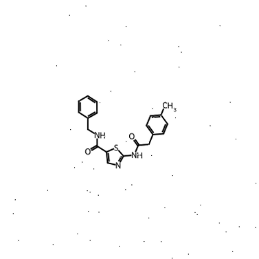 Cc1ccc(CC(=O)Nc2ncc(C(=O)NCc3ccccc3)s2)cc1